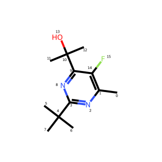 Cc1nc(C(C)(C)C)nc(C(C)(C)O)c1F